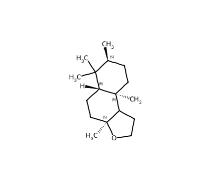 C[C@H]1CC[C@@]2(C)C3CCO[C@@]3(C)CC[C@@H]2C1(C)C